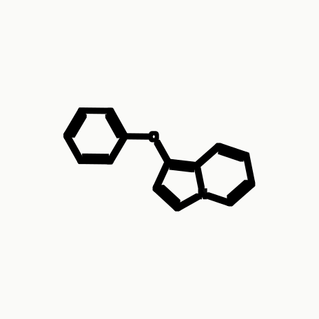 c1ccc(Oc2ccn3ccccc23)cc1